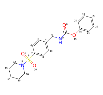 O=C(NCc1ccc(S(=O)(=O)N2CCCCC2)cc1)Oc1ccccc1